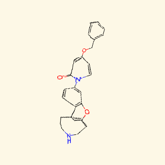 O=c1cc(OCc2ccccc2)ccn1-c1ccc2c3c(oc2c1)CCNCC3